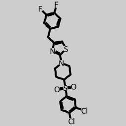 O=S(=O)(c1ccc(Cl)c(Cl)c1)C1CCN(c2nc(Cc3ccc(F)c(F)c3)cs2)CC1